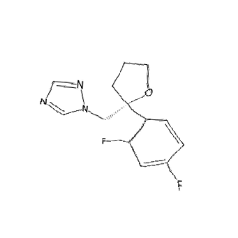 FC1=CC(F)C([C@@]2(Cn3cncn3)CCCO2)C=C1